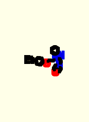 CCc1ccc(OCCn2c(CN3CCOCC3)nc3ccccc32)cc1